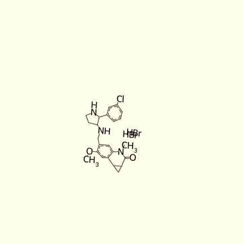 Br.Br.COc1cc2c(cc1CNC1CCNC1c1cccc(Cl)c1)N(C)C(=O)C1CC21